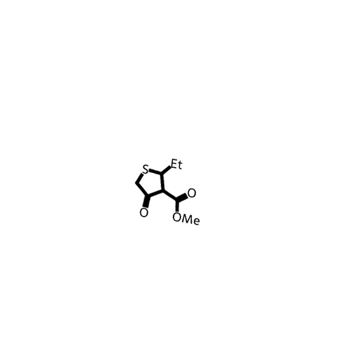 CCC1SCC(=O)C1C(=O)OC